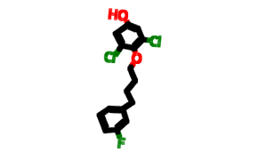 Oc1cc(Cl)c(OCCCCc2cccc(F)c2)c(Cl)c1